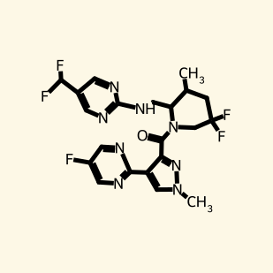 CC1CC(F)(F)CN(C(=O)c2nn(C)cc2-c2ncc(F)cn2)C1CNc1ncc(C(F)F)cn1